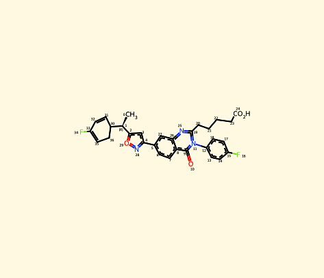 C[C@@H](c1cc(-c2ccc3c(=O)n(-c4ccc(F)cc4)c(CCCCC(=O)O)nc3c2)no1)C1C=CC(F)=CC1